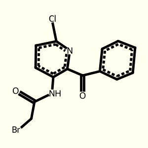 O=C(CBr)Nc1ccc(Cl)nc1C(=O)c1ccccc1